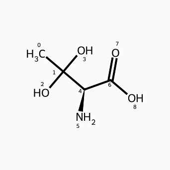 CC(O)(O)[C@H](N)C(=O)O